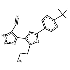 CCCc1sc(-c2ccc(C(F)(F)F)cc2)nc1-c1nn[nH]c1C#N